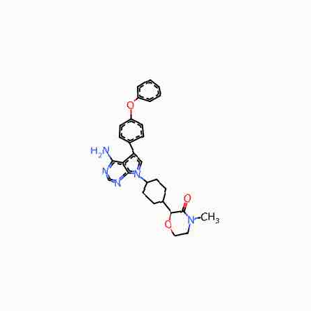 CN1CCOC(C2CCC(n3cc(-c4ccc(Oc5ccccc5)cc4)c4c(N)ncnc43)CC2)C1=O